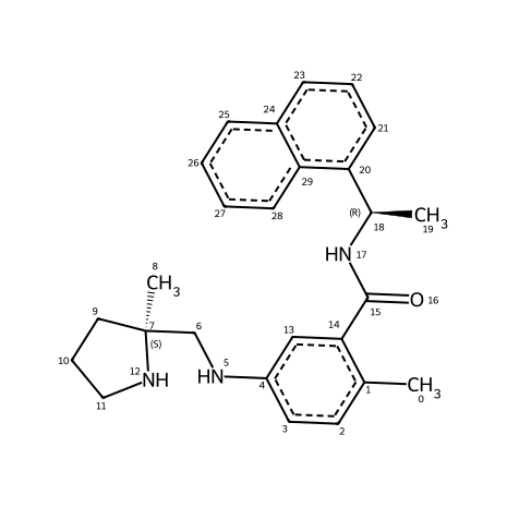 Cc1ccc(NC[C@]2(C)CCCN2)cc1C(=O)N[C@H](C)c1cccc2ccccc12